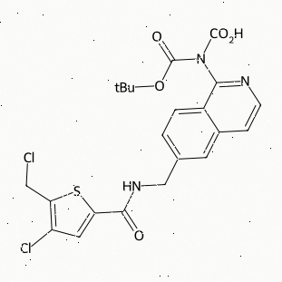 CC(C)(C)OC(=O)N(C(=O)O)c1nccc2cc(CNC(=O)c3cc(Cl)c(CCl)s3)ccc12